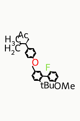 C=C(C)[C@@H](CC(C)=O)c1ccc(OCc2ccc(C(C)(C)C)c(-c3cc(OC)ccc3F)c2)cc1